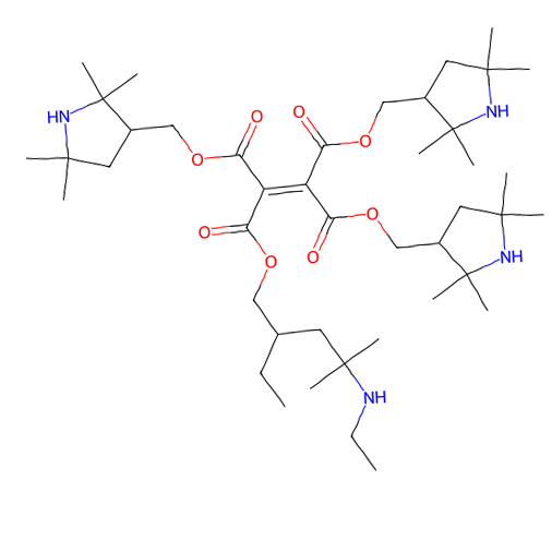 CCNC(C)(C)CC(CC)COC(=O)C(C(=O)OCC1CC(C)(C)NC1(C)C)=C(C(=O)OCC1CC(C)(C)NC1(C)C)C(=O)OCC1CC(C)(C)NC1(C)C